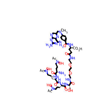 CC(=O)N(O)CCC[C@H](NC(=O)[C@H](CCCN(O)C(C)=O)NC(=O)[C@@H](N)CCCN(O)C(C)=O)C(=O)N[C@@H](CO)C(=O)NCCOCCOCCNC(=O)CC[C@@H](NC(=O)c1ccc(N(C)Cc2cnc3nc(N)nc(N)c3n2)cc1)C(=O)O